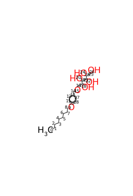 CCCCCCCCCOc1ccc(COCC(O)C(O)C(O)C(O)CO)cc1